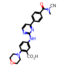 CN(C#N)C(=O)c1ccc(-c2ccnc(Nc3ccc(N4CCOCC4)c(C(=O)O)c3)n2)cc1